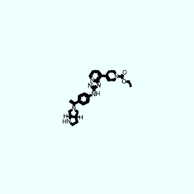 C=C(c1ccc(Nc2nc3c(C4=CCN(C(=O)OCC)CC4)cccn3n2)cc1)N1C[C@@H]2CCN[C@@H]2C1